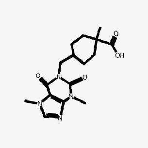 Cn1cnc2c1c(=O)n(CC1CCC(C)(C(=O)O)CC1)c(=O)n2C